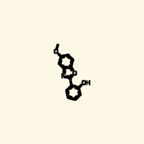 COc1ccc2oc(-c3ccccc3O)nc2c1